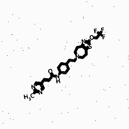 Cc1ncc(/C=C/C(=O)NC2CCC(CCN3CCc4nc(OCC(F)(F)F)sc4CC3)CC2)cn1